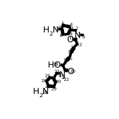 CN(Cc1ccc(N)cc1)C(=O)CC#CC#CC(O)C(=O)N(C)Cc1ccc(N)cc1